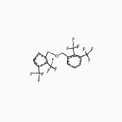 FC(F)(F)c1cccc(COCc2cccc(C(F)(F)F)c2C(F)(F)F)c1C(F)(F)F